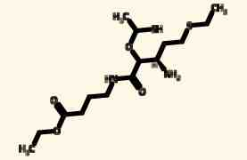 CCOC(=O)CCCNC(=O)C(OC(C)S)[C@H](N)CCSCC